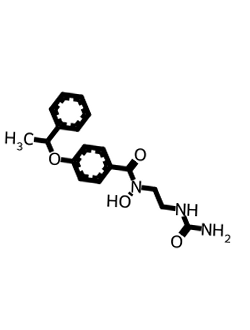 CC(Oc1ccc(C(=O)N(O)CCNC(N)=O)cc1)c1ccccc1